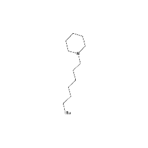 CC(C)(C)CCCCCCN1CCCCC1